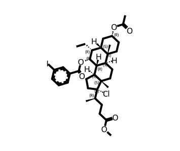 CC[C@H]1[C@@H](OC(=O)c2cccc(I)c2)[C@@H]2[C@H](CC[C@@]3(C)[C@H]2CC[C@]3(Cl)[C@H](C)CCC(=O)OC)[C@@]2(C)CC[C@@H](OC(C)=O)C[C@@H]12